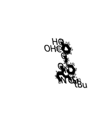 CC(C)(C)[Si](C)(C)OCc1ncccc1C(=O)N1CCCC[C@H]1CCOc1cccc(O)c1C=O